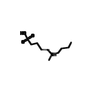 CCCC[SiH](C)[CH]CCCS(=O)(=O)O